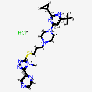 Cl.Cn1c(SCCCN2CCN(c3cc(C(C)(C)C)nc(C4CC4)n3)CC2)nnc1-c1cnccn1